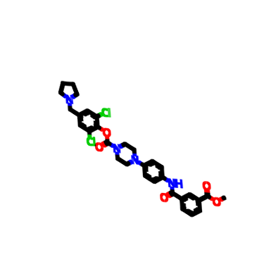 COC(=O)c1cccc(C(=O)Nc2ccc(N3CCN(C(=O)Oc4c(Cl)cc(CN5CCCC5)cc4Cl)CC3)cc2)c1